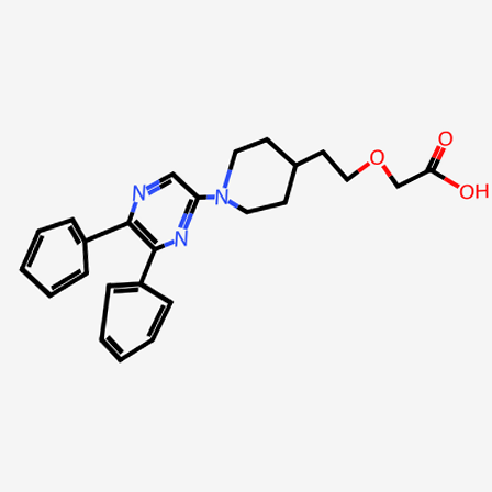 O=C(O)COCCC1CCN(c2cnc(-c3ccccc3)c(-c3ccccc3)n2)CC1